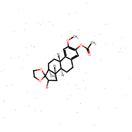 COc1cc2c(cc1OC(C)=O)CC[C@@H]1[C@@H]2CC[C@@]2(C)[C@H]1CC(Br)C21OCCO1